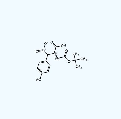 CC(C)(C)OC(=O)N[C@H](C(=O)O)C(c1ccc(O)cc1)[N+](=O)[O-]